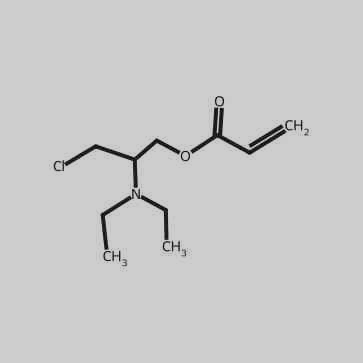 C=CC(=O)OCC(CCl)N(CC)CC